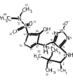 C[C@H](Nc1n[s+]([O-])nc1Nc1csc(S(=O)(=O)N(C)C)c1O)C(C)(C)C